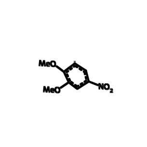 COc1[c]cc([N+](=O)[O-])cc1OC